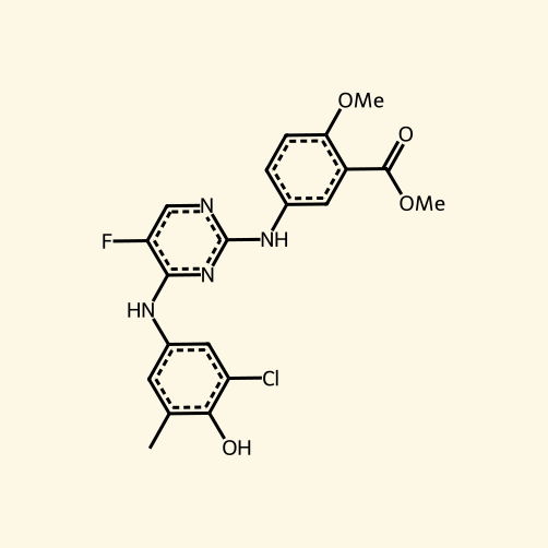 COC(=O)c1cc(Nc2ncc(F)c(Nc3cc(C)c(O)c(Cl)c3)n2)ccc1OC